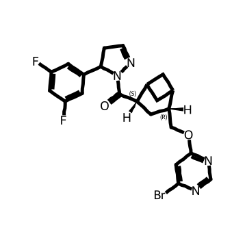 O=C([C@H]1C[C@@H](COc2cc(Br)ncn2)C2CC1C2)N1N=CCC1c1cc(F)cc(F)c1